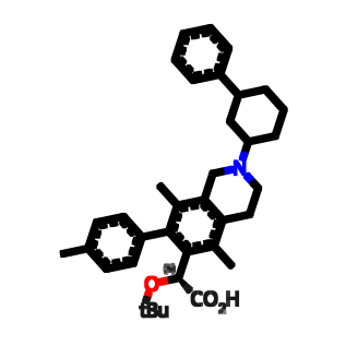 Cc1ccc(-c2c(C)c3c(c(C)c2[C@H](OC(C)(C)C)C(=O)O)CCN(C2CCCC(c4ccccc4)C2)C3)cc1